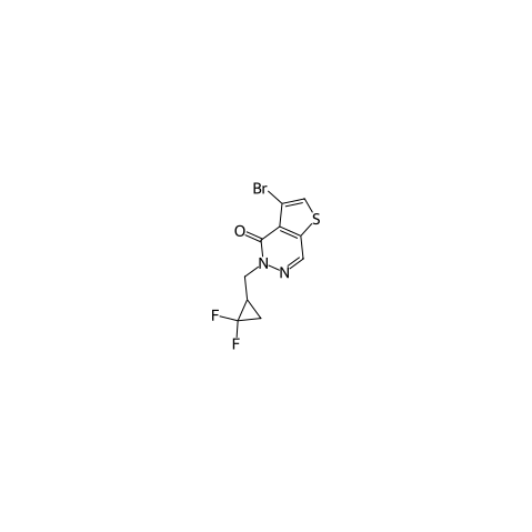 O=c1c2c(Br)csc2cnn1CC1CC1(F)F